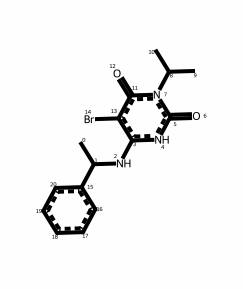 CC(Nc1[nH]c(=O)n(C(C)C)c(=O)c1Br)c1ccccc1